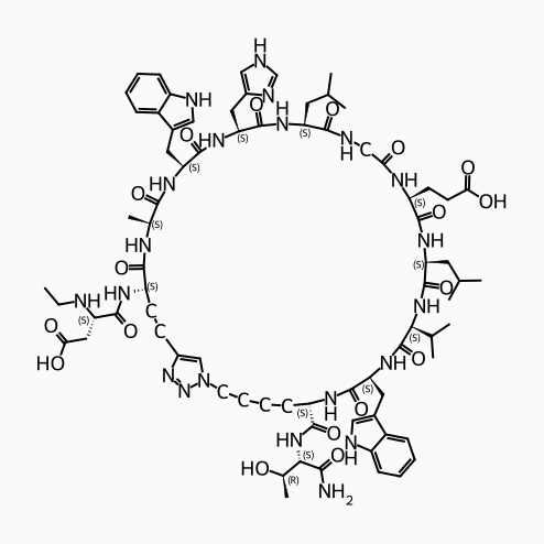 CCN[C@@H](CC(=O)O)C(=O)N[C@H]1CCc2cn(nn2)CCCC[C@@H](C(=O)N[C@H](C(N)=O)[C@@H](C)O)NC(=O)[C@H](Cc2c[nH]c3ccccc23)NC(=O)[C@H](C(C)C)NC(=O)[C@H](CC(C)C)NC(=O)[C@H](CCC(=O)O)NC(=O)CNC(=O)[C@H](CC(C)C)NC(=O)[C@H](Cc2c[nH]cn2)NC(=O)[C@H](Cc2c[nH]c3ccccc23)NC(=O)[C@H](C)NC1=O